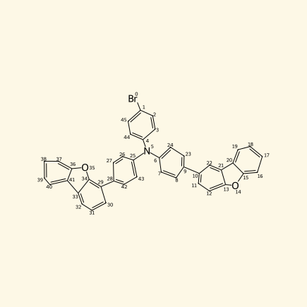 Brc1ccc(N(c2ccc(-c3ccc4oc5ccccc5c4c3)cc2)c2ccc(-c3cccc4c3oc3ccccc34)cc2)cc1